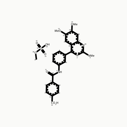 CNc1nc(-c2cccc(NC(=O)c3ccc(C(=O)O)cc3)c2)c2cc(OC)c(OC)cc2n1.COS(=O)(=O)O